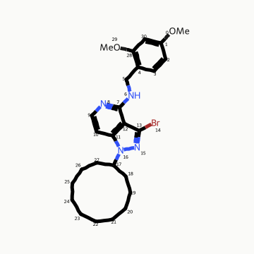 COc1ccc(CNc2nccc3c2c(Br)nn3C2CCCCCCCCCC2)c(OC)c1